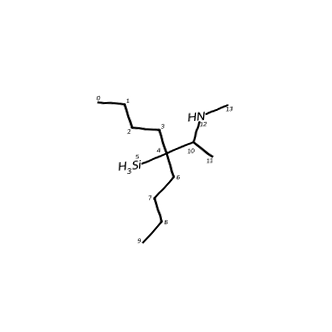 CCCCC([SiH3])(CCCC)C(C)NC